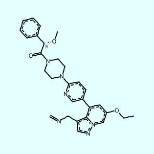 C=NCc1cnn2cc(OCC)cc(-c3ccc(N4CCN(C(=O)[C@@H](OC)c5ccccc5)CC4)nc3)c12